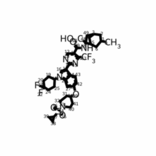 CC1CC2CC(C1)C(NC(=O)c1cnc(-c3cn(C4CCC(F)(F)CC4)c4cc(OC5CCN(S(=O)(=O)C6CC6)CC5)ccc34)nc1C(F)(F)F)(C(=O)O)C2